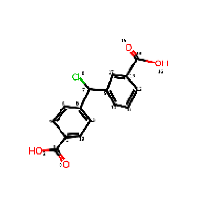 O=C(O)c1ccc(C(Cl)c2cccc(C(=O)O)c2)cc1